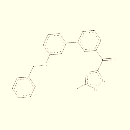 Cc1nnc(C(=O)c2cccc(-c3cccc(OCc4ccccc4)c3)c2)o1